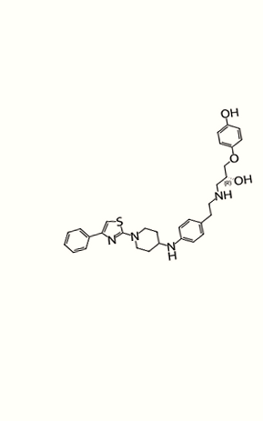 Oc1ccc(OC[C@H](O)CNCCc2ccc(NC3CCN(c4nc(-c5ccccc5)cs4)CC3)cc2)cc1